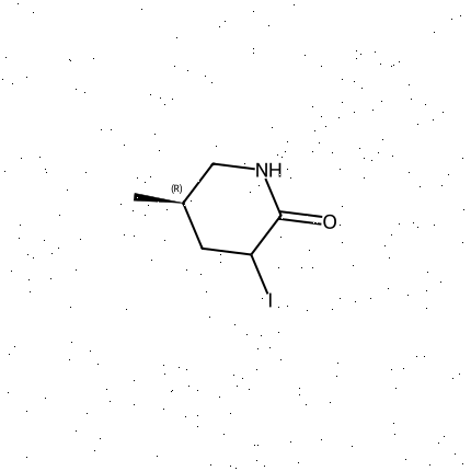 C[C@H]1CNC(=O)C(I)C1